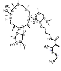 C=C(C(=O)NCCCO[C@H]1[C@H](O[C@@H]2[C@@H](C)[C@H](O[C@H]3C[C@@](C)(OC)[C@@H](O)[C@H](C)O3)[C@@H](C)C(=O)O[C@H](I)[C@@](C)(O)[C@H](O)[C@@H](C)N(C)C[C@H](C)C[C@@]2(C)O)O[C@H](C)C[C@@H]1N(C)C)/C(N)=N\C=C/N